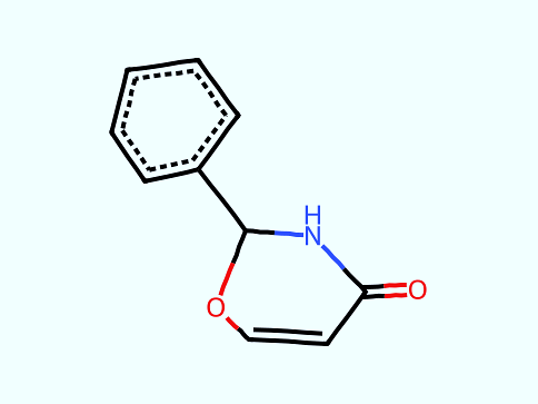 O=C1C=COC(c2ccccc2)N1